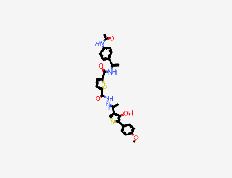 COc1ccc(-c2scc(/C(C)=N/NC(=O)c3ccc(C(=O)NC(C)c4ccc(NC(C)=O)cc4)s3)c2O)cc1